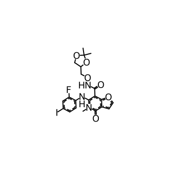 Cn1c(Nc2ccc(I)cc2F)c(C(=O)NOCC2COC(C)(C)O2)c2occc2c1=O